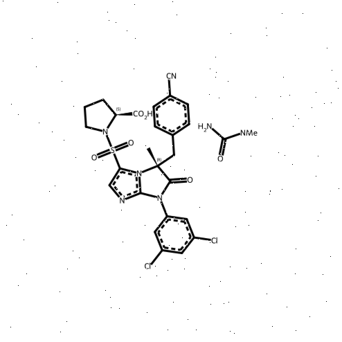 CNC(N)=O.C[C@@]1(Cc2ccc(C#N)cc2)C(=O)N(c2cc(Cl)cc(Cl)c2)c2ncc(S(=O)(=O)N3CCC[C@H]3C(=O)O)n21